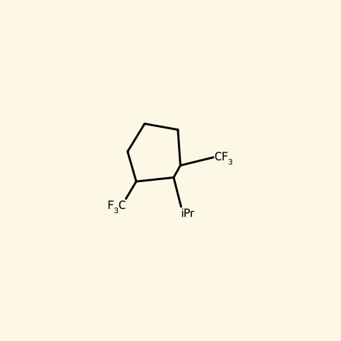 CC(C)C1C(C(F)(F)F)CCCC1C(F)(F)F